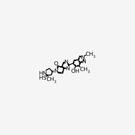 Cc1c(O)c(-c2ncc3c(=O)n([C@H]4CCN[C@](C)(S)C4)ccc3n2)cc2cn(C)nc12